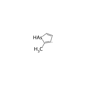 CC1=[C]C=C[AsH]1